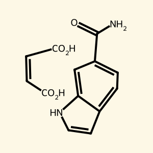 NC(=O)c1ccc2cc[nH]c2c1.O=C(O)/C=C\C(=O)O